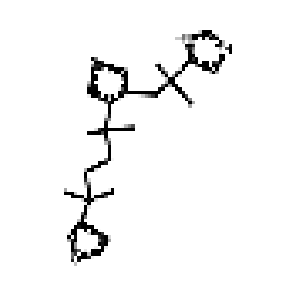 CC(C)(CCC(C)(C)c1cscc1CC(C)(C)c1cnc[nH]1)c1ccoc1